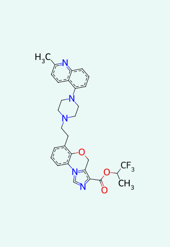 Cc1ccc2c(N3CCN(CCc4cccc5c4OCc4c(C(=O)OC(C)C(F)(F)F)ncn4-5)CC3)cccc2n1